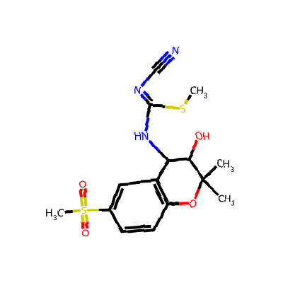 CSC(=NC#N)NC1c2cc(S(C)(=O)=O)ccc2OC(C)(C)C1O